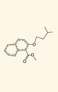 COC(=O)c1c(OCCC(C)C)ccc2ccccc12